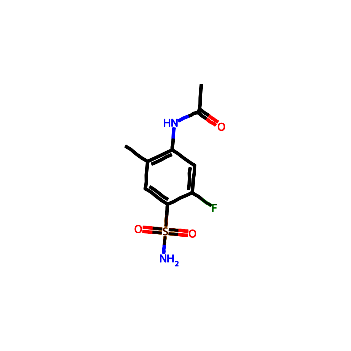 CC(=O)Nc1cc(F)c(S(N)(=O)=O)cc1C